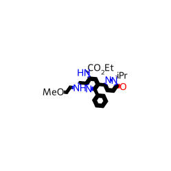 CCOC(=O)Nc1cc(-c2ccc(=O)n(C(C)C)n2)c(-c2ccccc2)nc1CNCCOC